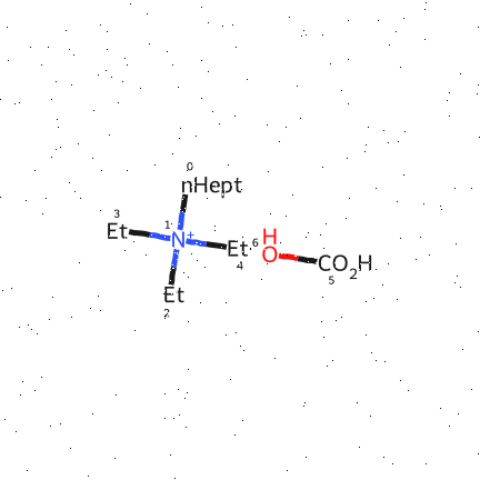 CCCCCCC[N+](CC)(CC)CC.O=C(O)O